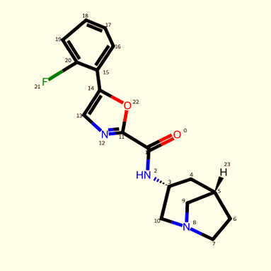 O=C(N[C@@H]1C[C@@H]2CCN(C2)C1)c1ncc(-c2ccccc2F)o1